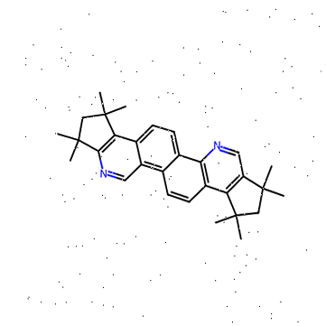 CC1(C)CC(C)(C)c2c1cnc1c2ccc2c3cnc4c(c3ccc21)C(C)(C)CC4(C)C